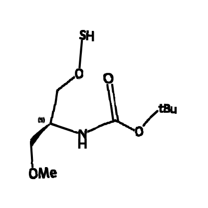 COC[C@@H](COS)NC(=O)OC(C)(C)C